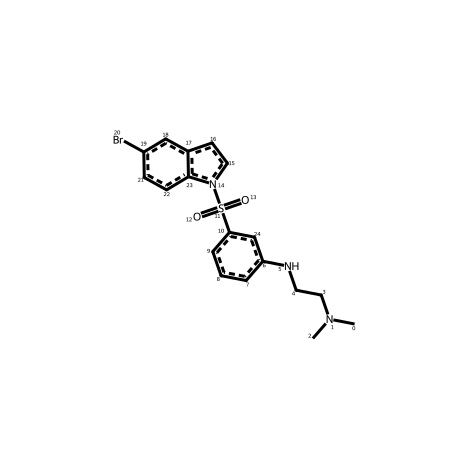 CN(C)CCNc1cccc(S(=O)(=O)n2ccc3cc(Br)ccc32)c1